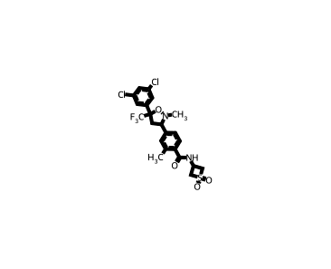 Cc1cc(C2CC(c3cc(Cl)cc(Cl)c3)(C(F)(F)F)ON2C)ccc1C(=O)NC1CS(=O)(=O)C1